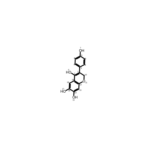 OC1=C(c2ccc(O)cc2)COc2cc(O)c(O)cc21